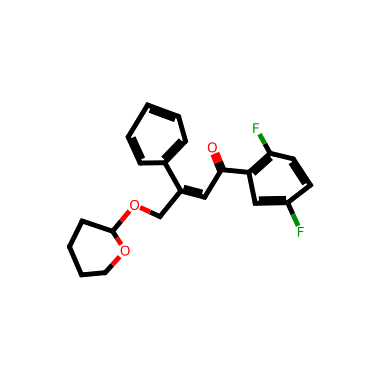 O=C(/C=C(/COC1CCCCO1)c1ccccc1)c1cc(F)ccc1F